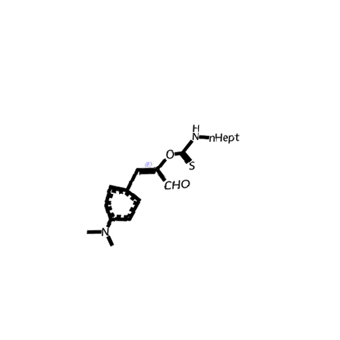 CCCCCCCNC(=S)O/C(C=O)=C/c1ccc(N(C)C)cc1